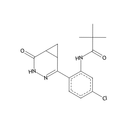 CC(C)(C)C(=O)Nc1cc(Cl)ccc1C1=NNC(=O)C2CC12